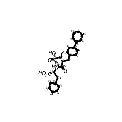 CN(C(Cc1ccc(-c2ccccc2)cc1)C(=O)N[C@@H](Cc1ccccc1)C(=O)O)P(=O)(O)O